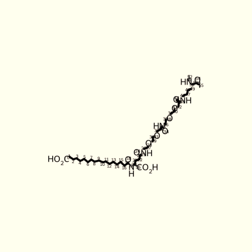 O=C(O)CCCCCCCCCCCCCCCCC(=O)N[C@@H](CCC(=O)NCCOCCOCC(=O)NCCOCCOCC(=O)NCCCC[C@H](NI)C(=O)I)C(=O)O